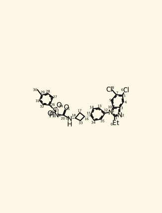 CCc1nc2cc(Cl)c(Cl)cc2n1-c1ccc([C@H]2C[C@@H](NC(=O)NS(=O)(=O)c3ccc(C)cc3)C2)cc1